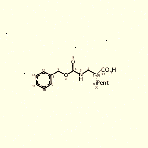 CCC[C@@H](C)[C@H](CNC(=O)OCc1ccccc1)C(=O)O